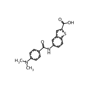 CN(C)c1ccc(C(=O)Nc2ccc3sc(C(=O)O)cc3c2)cc1